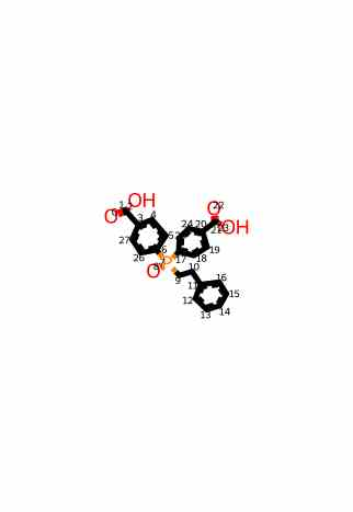 O=C(O)c1ccc(P(=O)(CCc2ccccc2)c2ccc(C(=O)O)cc2)cc1